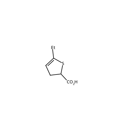 CCC1=CCC(C(=O)O)S1